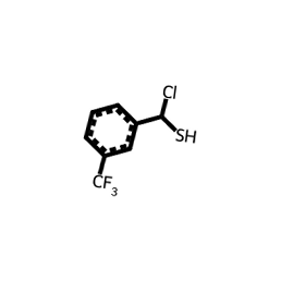 FC(F)(F)c1cccc(C(S)Cl)c1